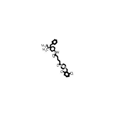 CN(C)C1(Cc2ccccc2)CCC(NC(=O)CCCC(=O)N2CCN(Cc3c(Cl)cccc3Cl)CC2)CC1